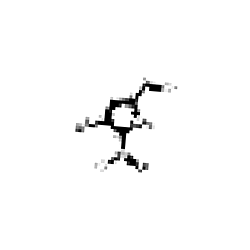 O=Cc1cc(Br)c([N+](=O)[O-])o1